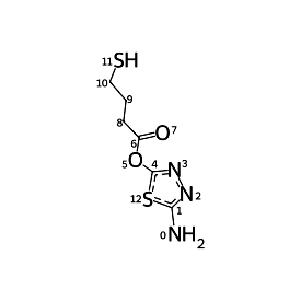 Nc1nnc(OC(=O)CCCS)s1